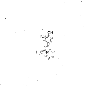 C=C(/C=C/c1ccc(O)c(O)c1)N1CCCCC1